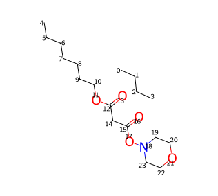 CCCC.CCCCCCCOC(=O)CC(=O)ON1CCOCC1